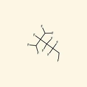 FCC(F)(F)C(F)(F)C(F)([C](F)F)C(F)F